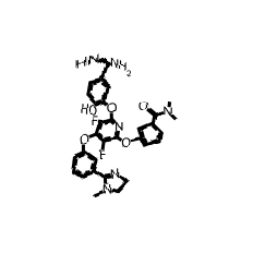 CN(C)C(=O)c1cccc(Oc2nc(Oc3cc(C(=N)N)ccc3O)c(F)c(Oc3cccc(C4=NCCN4C)c3)c2F)c1